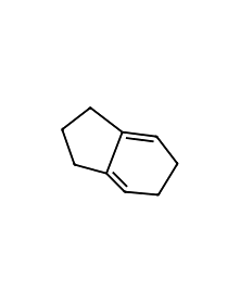 C1=C2CCCC2=CCC1